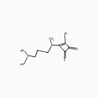 CCCN(CCC)CCCN(C)c1c(C(C)C)c(=O)c1=S